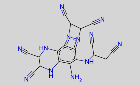 N#CCC(C#N)Nc1c(N)c2c(c3c1n1n3C(C#N)C1C#N)NC(C#N)C(C#N)N2